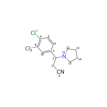 N#CCC(c1ccc(Cl)c(Cl)c1)N1CCCC1